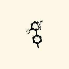 Cc1ccc(-c2nn(C)ccc2=O)cc1